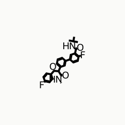 CNC(=O)C1c2cc(-c3ccc(F)c(C(=O)NC(C)(C)C)c3)ccc2OC1c1ccc(F)cc1